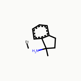 CC1(N)CCc2ccccc21.CCC